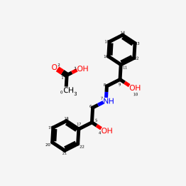 CC(=O)O.OC(CNCC(O)c1ccccc1)c1ccccc1